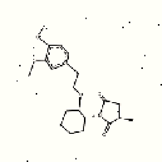 COc1ccc(CCO[C@@H]2CCCC[C@H]2N2C(=O)C[C@@H](C)C2=O)cc1OC